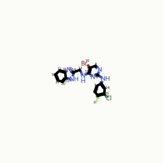 Fc1ccc(Nc2ncc(Br)c(NCc3nc4ccccc4[nH]3)n2)cc1Cl